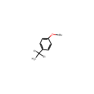 CCCCOc1ccc(C(C)(CC)CC)cc1